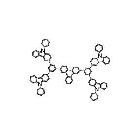 C1=CC2C(C=C1c1cc(-c3ccc4c5ccc(-c6cc(-c7ccc8c(c7)c7ccccc7n8-c7ccccc7)cc(-c7ccc8c(c7)c7ccccc7n8-c7ccccc7)c6)cc5c5ccccc5c4c3)cc(-c3ccc4c(c3)c3ccccc3n4-c3ccccc3)c1)c1ccccc1N2c1ccccc1